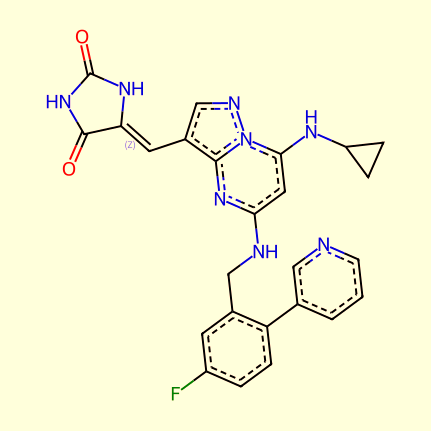 O=C1NC(=O)/C(=C/c2cnn3c(NC4CC4)cc(NCc4cc(F)ccc4-c4cccnc4)nc23)N1